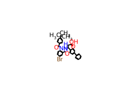 CC(C)(C)c1ccc(C(=O)Nc2ccc(Br)cc2C(=O)NC(CC(=O)O)c2ccc(-c3ccccc3)cc2)cc1